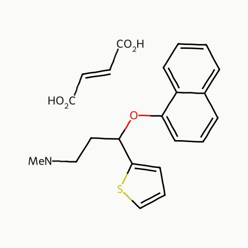 CNCCC(Oc1cccc2ccccc12)c1cccs1.O=C(O)/C=C/C(=O)O